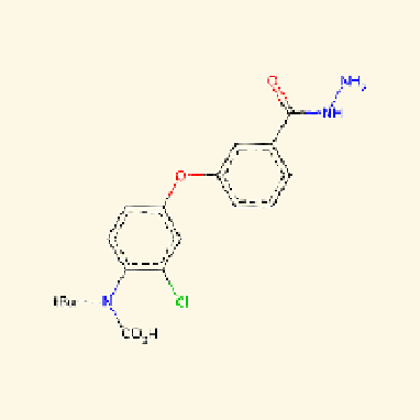 CC(C)(C)N(C(=O)O)c1ccc(Oc2cccc(C(=O)NN)c2)cc1Cl